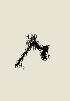 CC[C@H]1C(=O)OCc2c1cc1n(c2=O)Cc2c-1nc1cc(F)c(C)c3c1c2[C@@H](NC(=O)Oc1ccc(NC(=O)[C@H](CCCNC(N)=O)NC(=O)C(NC(=O)CCOCCOCCOCCOCCOCCOCCN)C(C)C)cc1)CC3